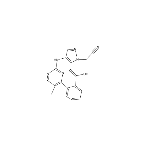 Cc1cnc(Nc2cnn(CC#N)c2)nc1-c1ccccc1C(=O)O